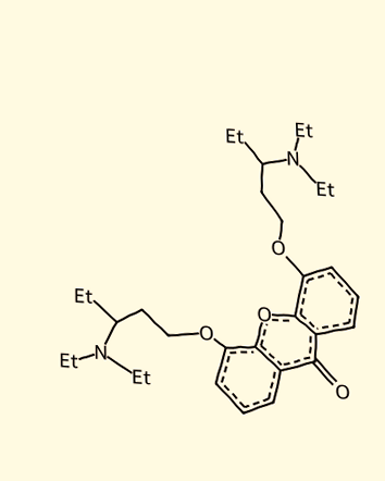 CCC(CCOc1cccc2c(=O)c3cccc(OCCC(CC)N(CC)CC)c3oc12)N(CC)CC